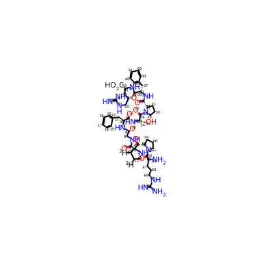 [2H]C1CN[C@@](C(=O)NCC(=O)N[C@@H](Cc2ccccc2)C(=O)N[C@@H](CO)C(=O)N2CCC[C@H]2C(=O)N[C@@H](Cc2ccccc2)C(=O)N[C@@H](CCCNC(=N)N)C(=O)O)(C(=O)[C@@H]2CCCN2C(=O)[C@@H](N)CCCNC(=N)N)C1[2H]